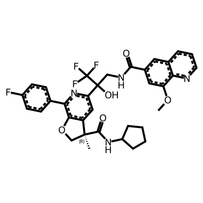 COc1cc(C(=O)NCC(O)(c2cc3c(c(-c4ccc(F)cc4)n2)OC[C@]3(C)C(=O)NC2CCCC2)C(F)(F)F)cc2cccnc12